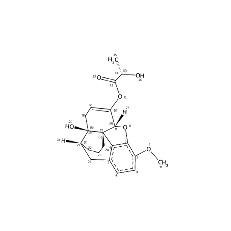 COc1ccc2c3c1O[C@H]1C(OC(=O)[C@H](C)O)=CC[C@@]4(O)[C@H](CCC[C@]314)C2